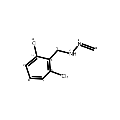 C=NNCc1c(Cl)cccc1Cl